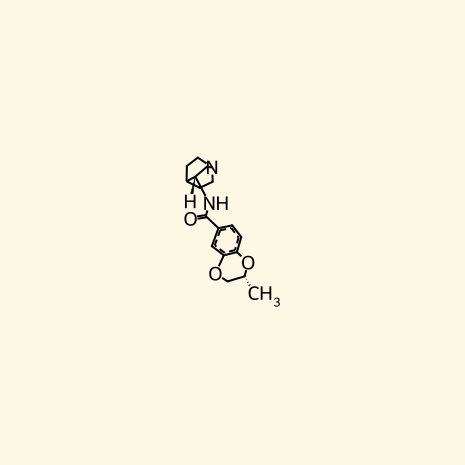 C[C@@H]1COc2cc(C(=O)N[C@H]3CN4CCC3CC4)ccc2O1